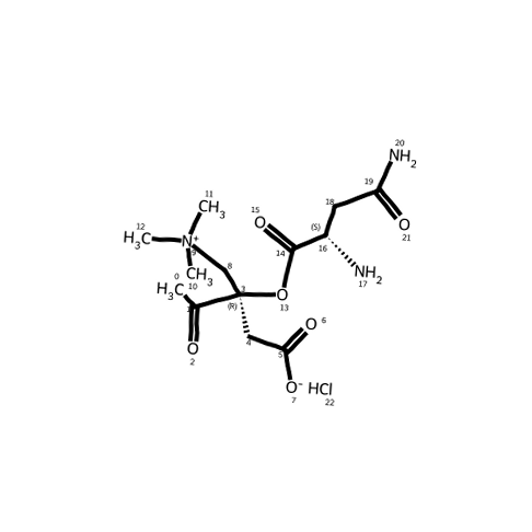 CC(=O)[C@@](CC(=O)[O-])(C[N+](C)(C)C)OC(=O)[C@@H](N)CC(N)=O.Cl